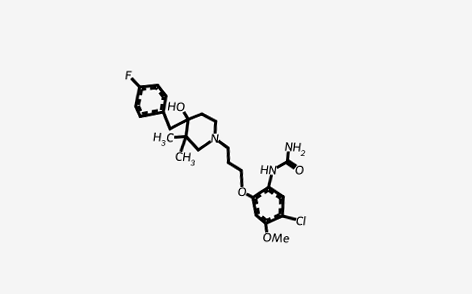 COc1cc(OCCCN2CCC(O)(Cc3ccc(F)cc3)C(C)(C)C2)c(NC(N)=O)cc1Cl